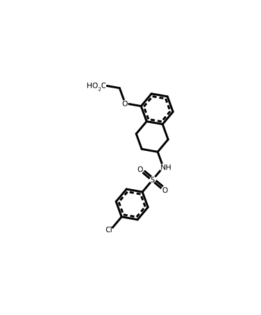 O=C(O)COc1cccc2c1CCC(NS(=O)(=O)c1ccc(Cl)cc1)C2